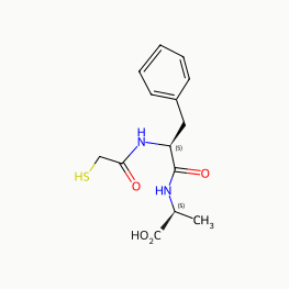 C[C@H](NC(=O)[C@H](Cc1ccccc1)NC(=O)CS)C(=O)O